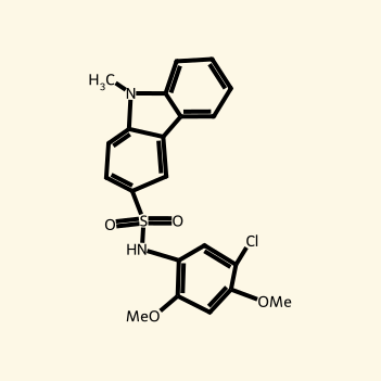 COc1cc(OC)c(NS(=O)(=O)c2ccc3c(c2)c2ccccc2n3C)cc1Cl